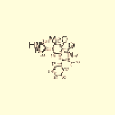 COc1cc(C(=O)N2CCCC2Cc2ccccc2)ccc1-c1cn[nH]c1